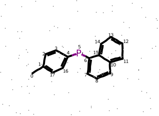 Cc1ccc([P]c2cccc3ccccc23)cc1